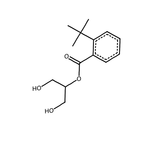 CC(C)(C)c1ccccc1C(=O)OC(CO)CO